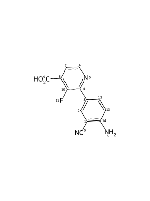 N#Cc1cc(-c2nccc(C(=O)O)c2F)ccc1N